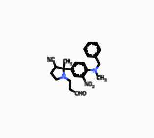 CN(Cc1ccccc1)c1ccc(C2(C)C(C#N)CCN2CCC=O)cc1[N+](=O)[O-]